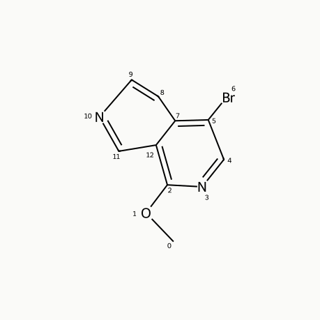 COc1ncc(Br)c2ccncc12